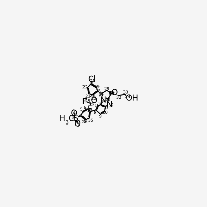 CS(=O)(=O)c1ccc(-c2ccc3nc4n(c3c2)[C@@H](c2cc(Cl)ccc2OC(F)F)C[C@H]4OCCO)cc1